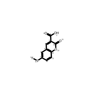 O=C(O)c1cc2cc(SF)ccc2oc1=O